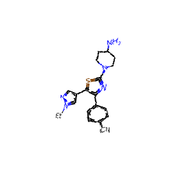 CCn1cc(-c2sc(N3CCC(N)CC3)nc2-c2ccc(C#N)cc2)cn1